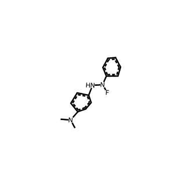 CN(C)c1ccc(NN(F)c2ccccc2)cc1